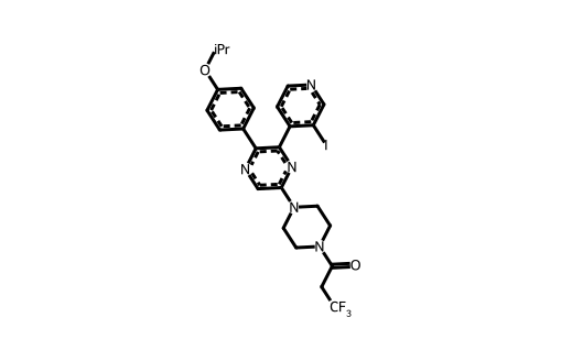 CC(C)Oc1ccc(-c2ncc(N3CCN(C(=O)CC(F)(F)F)CC3)nc2-c2ccncc2I)cc1